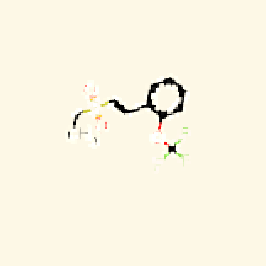 CCS(=O)(=O)/C=C/c1ccccc1OC(F)(F)F